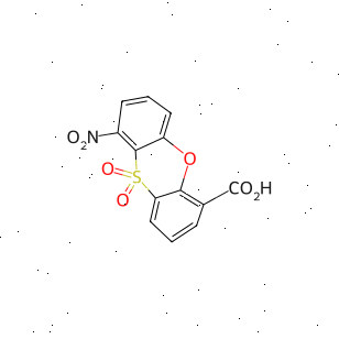 O=C(O)c1cccc2c1Oc1cccc([N+](=O)[O-])c1S2(=O)=O